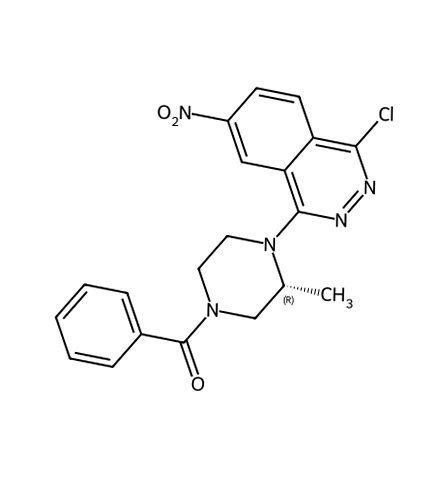 C[C@@H]1CN(C(=O)c2ccccc2)CCN1c1nnc(Cl)c2ccc([N+](=O)[O-])cc12